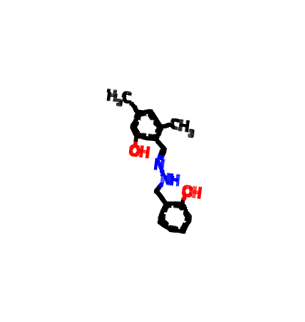 Cc1cc(C)c(C=NNCc2ccccc2O)c(O)c1